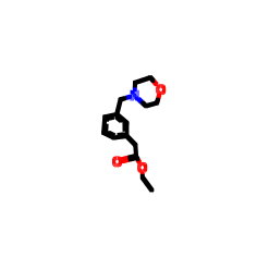 CCOC(=O)Cc1cccc(CN2CCOCC2)c1